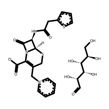 O=C(Cc1cccs1)N[C@@H]1C(=O)N2C(C(=O)[O-])=C(C[n+]3ccccc3)CS[C@H]12.O=C[C@H](O)[C@@H](O)[C@H](O)[C@H](O)CO